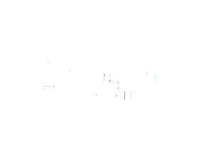 C[C@@H]1c2cc(F)ccc2-c2ccccc2N1C(=O)c1ccc(Cl)c(O)c1